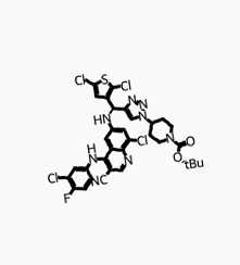 CC(C)(C)OC(=O)N1CCC(n2cc([C@@H](Nc3cc(Cl)c4ncc(C#N)c(Nc5ccc(F)c(Cl)c5)c4c3)c3cc(Cl)sc3Cl)nn2)CC1